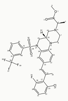 COC(=O)[C@@H](C)N1CCN2c3ccc(/C=C(\C)c4c(F)cccc4Cl)cc3N(S(=O)(=O)c3cccc(C(F)(F)F)c3)C[C@@H]2C1